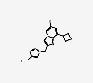 CCOC(=O)c1cn(Cc2cn3cc(Cl)cc(C4COC4)c3n2)nn1